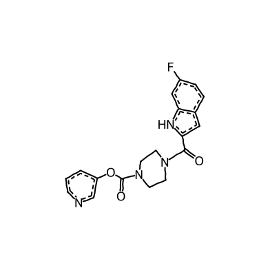 O=C(Oc1cccnc1)N1CCN(C(=O)c2cc3ccc(F)cc3[nH]2)CC1